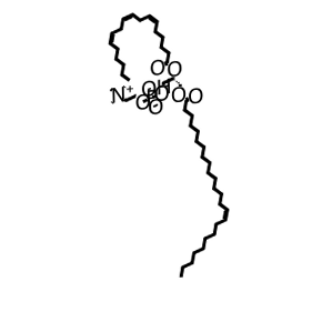 CCCCC/C=C\C/C=C\C/C=C\CCCCC(=O)O[C@H](COC(=O)CCCCCCCCCCCCC/C=C\CCCCCCCC)COP(=O)(O)OCC[N+](C)(C)C